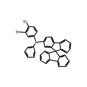 CCc1ccc(N(c2ccccc2)c2ccc3c(c2)C2(c4ccccc4-c4ccccc42)c2ccccc2-3)cc1CC